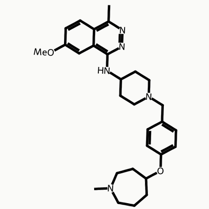 COc1ccc2c(C)nnc(NC3CCN(Cc4ccc(OC5CCCN(C)CC5)cc4)CC3)c2c1